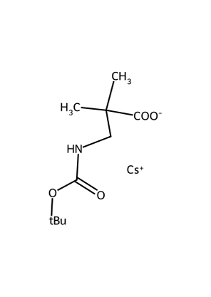 CC(C)(C)OC(=O)NCC(C)(C)C(=O)[O-].[Cs+]